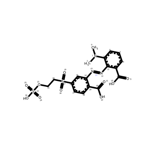 CN(C)c1cccc(C(=O)O)c1/N=N/c1cc(S(=O)(=O)CCOS(=O)(=O)O)ccc1C(=O)O